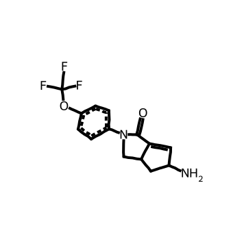 NC1C=C2C(=O)N(c3ccc(OC(F)(F)F)cc3)CC2C1